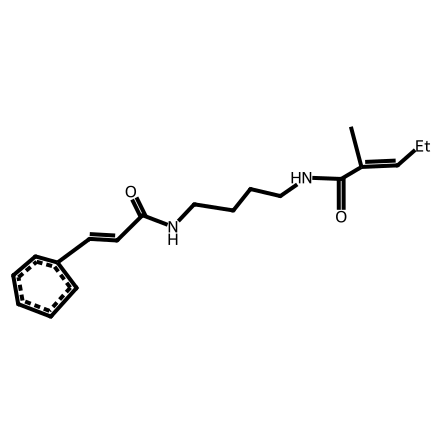 CC/C=C(\C)C(=O)NCCCCNC(=O)C=Cc1ccccc1